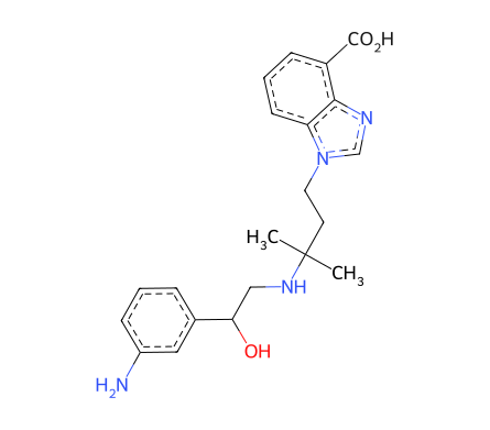 CC(C)(CCn1cnc2c(C(=O)O)cccc21)NCC(O)c1cccc(N)c1